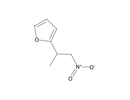 CC(C[N+](=O)[O-])c1ccco1